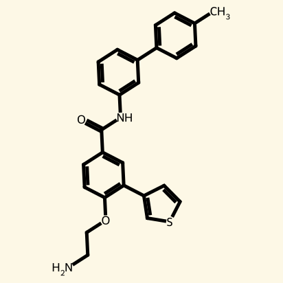 Cc1ccc(-c2cccc(NC(=O)c3ccc(OCCN)c(-c4ccsc4)c3)c2)cc1